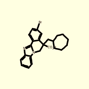 O=C(O)C1(CC2CCCCCC2)Cn2c(nc3ccccc32)-c2ccc(Br)cc21